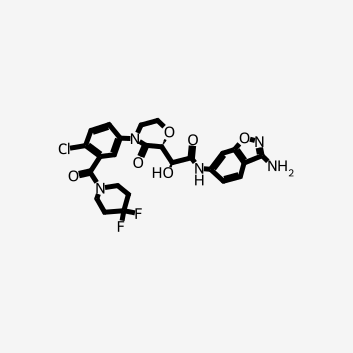 Nc1noc2cc(NC(=O)[C@H](O)[C@H]3OCCN(c4ccc(Cl)c(C(=O)N5CCC(F)(F)CC5)c4)C3=O)ccc12